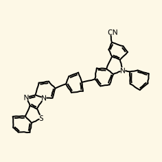 N#Cc1ccc2c(c1)c1cc(-c3ccc(-c4ccc5nc6c7ccccc7sc6n5c4)cc3)ccc1n2-c1ccccc1